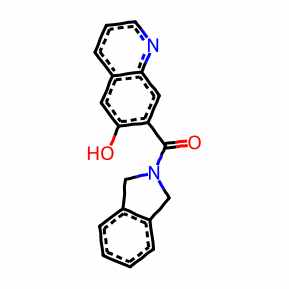 O=C(c1cc2ncccc2cc1O)N1Cc2ccccc2C1